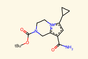 CC(C)(C)OC(=O)N1CCn2c(C3CC3)cc(C(N)=O)c2C1